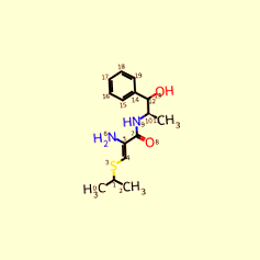 CC(C)S/C=C(\N)C(=O)N[C@H](C)C(O)c1ccccc1